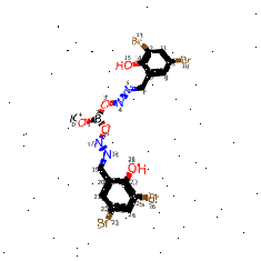 [K+].[O-]B(ON=NCc1cc(Br)cc(Br)c1O)ON=NCc1cc(Br)cc(Br)c1O